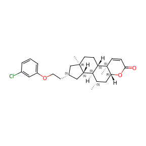 C[C@H]1C[C@H]2OC(=O)C=C[C@]2(C)[C@H]2CC[C@]3(C)C[C@@H](CCOc4cccc(Cl)c4)C[C@H]3[C@H]12